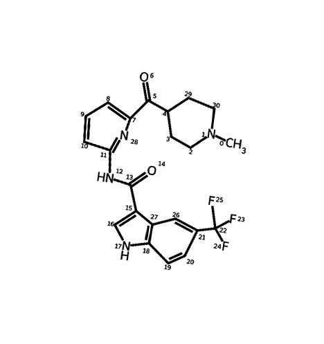 CN1CCC(C(=O)c2cccc(NC(=O)c3c[nH]c4ccc(C(F)(F)F)cc34)n2)CC1